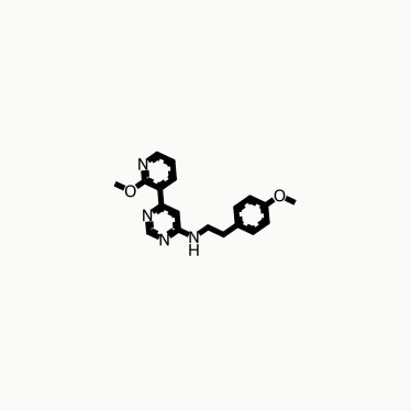 COc1ccc(CCNc2cc(-c3cccnc3OC)ncn2)cc1